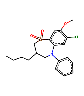 CCCCC1CN(c2ccccc2)c2cc(Cl)c(OC)cc2S(=O)(=O)C1